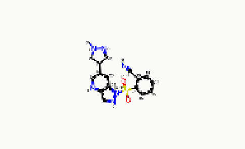 CN1CC(c2cnc3cnn(S(=O)(=O)c4ccccc4C#N)c3c2)C=N1